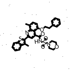 Cc1c(-c2cc(C(=O)NS(=O)(=O)N3CCOCC3)c3c(OCCc4ccccc4)ccc(C)c3n2)sc2ccccc12